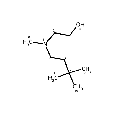 CN(CCO)CCC(C)(C)C